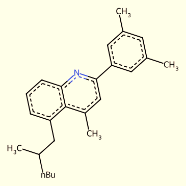 CCCCC(C)Cc1cccc2nc(-c3cc(C)cc(C)c3)cc(C)c12